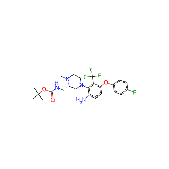 CN1CCN(c2c(N)ccc(Oc3ccc(F)cc3)c2C(F)(F)F)C[C@@H]1CNC(=O)OC(C)(C)C